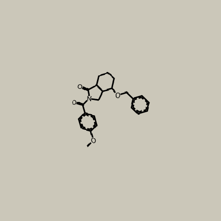 COc1ccc(C(=O)N2CC3C(OCc4ccccc4)CCCC3C2=O)cc1